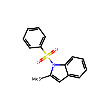 CSc1cc2ccccc2n1S(=O)(=O)c1ccccc1